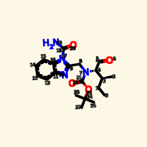 CC[C@H](C)[C@@H]([C]=O)N(Cc1nc2ccccc2n1C(N)=O)C(=O)OC(C)(C)C